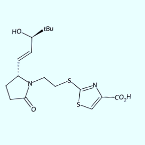 CC(C)(C)[C@H](O)/C=C/[C@H]1CCC(=O)N1CCSc1nc(C(=O)O)cs1